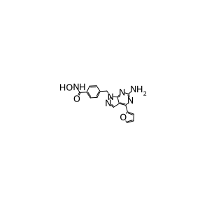 Nc1nc(-c2ccco2)c2cnn(Cc3ccc(C(=O)NO)cc3)c2n1